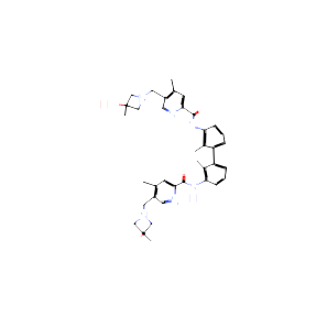 Cc1cc(C(=O)Nc2cccc(-c3cccc(NC(=O)c4cc(C)c(CN5CC(C)(O)C5)cn4)c3C)c2C)ncc1CN1CC(C)(O)C1